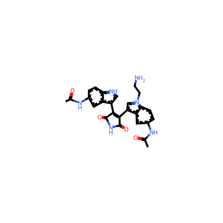 CC(=O)Nc1ccc2[nH]cc(C3=C(c4cn(CCN)c5ccc(NC(C)=O)cc45)C(=O)NC3=O)c2c1